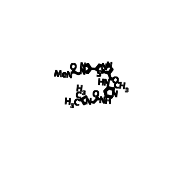 CNC(=O)Cn1cc(-c2cn3ncc(C(=O)Nc4cc(NC(=O)CN5CC(C)(C)C5)cnc4C)c3s2)cn1